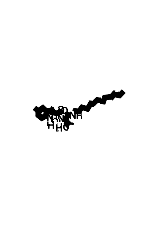 CCCCCCCCCCCCCNC(=O)[C@@H](NC(=O)c1cc2cc(C)ccc2[nH]1)[C@@H](C)O